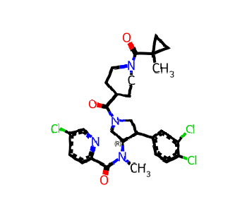 CN(C(=O)c1ccc(Cl)cn1)[C@H]1CN(C(=O)C2CCN(C(=O)C3(C)CC3)CC2)CC1c1ccc(Cl)c(Cl)c1